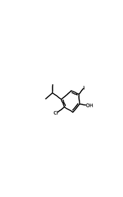 CC(C)c1cc(I)c(O)cc1Cl